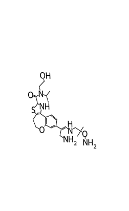 CC(C)N(CCO)C(=O)C1NC2=C(CCOc3cc(/C(=C/NCC(C)(C)ON)CN)ccc32)S1